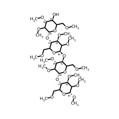 COCC1O[C@H](O[C@H]2C(COC)O[C@H](O[C@H]3C(COC)O[C@H](O[C@H]4C(COC)O[C@@H](OC)C(OC)[C@@H]4OC)C(OC)[C@@H]3OC)C(OC)[C@@H]2OC)C(OC)[C@H](OC)[C@H]1O